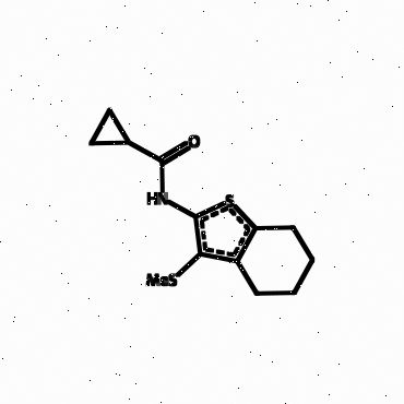 CSc1c(NC(=O)C2CC2)sc2c1CCCC2